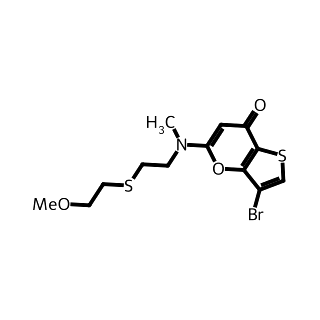 COCCSCCN(C)c1cc(=O)c2scc(Br)c2o1